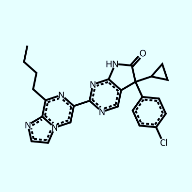 CCCCc1nc(-c2ncc3c(n2)NC(=O)C3(c2ccc(Cl)cc2)C2CC2)cn2ccnc12